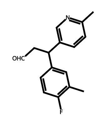 Cc1ccc(C(CC=O)c2ccc(F)c(C)c2)cn1